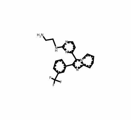 NCCNc1nccc(-c2c(-c3cccc(C(F)(F)F)c3)nc3ccccn23)n1